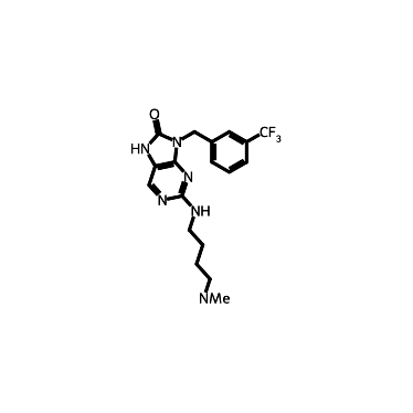 CNCCCCNc1ncc2[nH]c(=O)n(Cc3cccc(C(F)(F)F)c3)c2n1